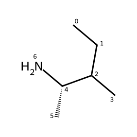 CCC(C)[C@H](C)N